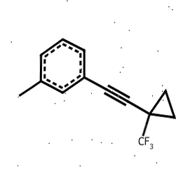 Cc1cccc(C#CC2(C(F)(F)F)CC2)c1